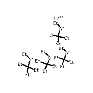 CC[N-]C(CC)(CC)CC.CC[N-]C(CC)(CC)CC.CC[N-]C(CC)(CC)CC.CC[N-]C(CC)(CC)CC.[Hf+4]